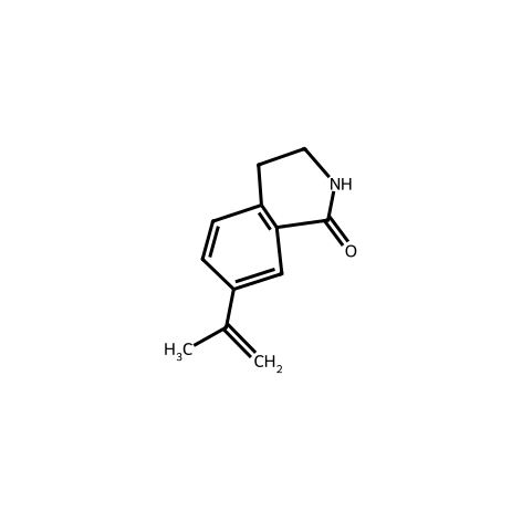 C=C(C)c1ccc2c(c1)C(=O)NCC2